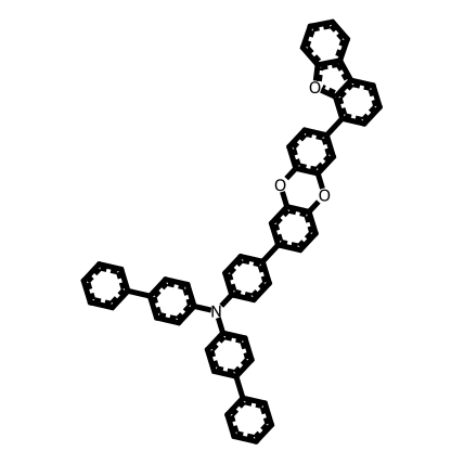 c1ccc(-c2ccc(N(c3ccc(-c4ccccc4)cc3)c3ccc(-c4ccc5c(c4)Oc4ccc(-c6cccc7c6oc6ccccc67)cc4O5)cc3)cc2)cc1